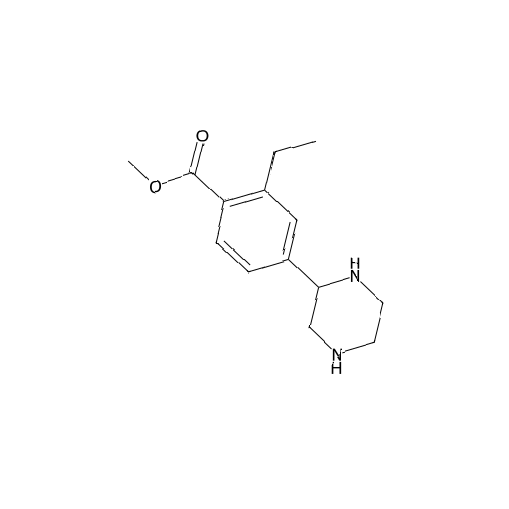 CCc1cc(C2CNCCN2)ccc1C(=O)OC